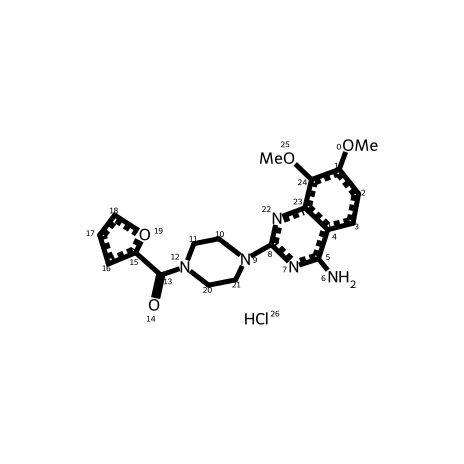 COc1ccc2c(N)nc(N3CCN(C(=O)c4ccco4)CC3)nc2c1OC.Cl